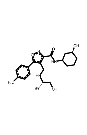 CC(C)[C@@H](CO)NCc1c(C(=O)N[C@@H]2CCC[C@H](O)C2)noc1-c1ccc(C(F)(F)F)cc1